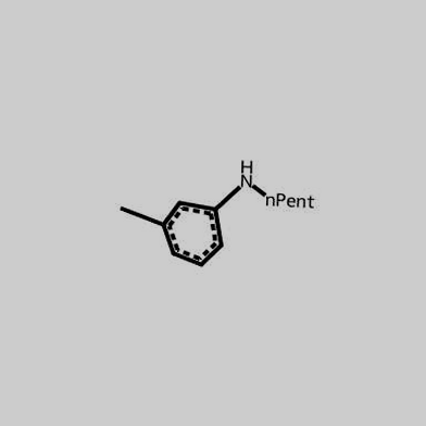 CCCCCNc1cccc(C)c1